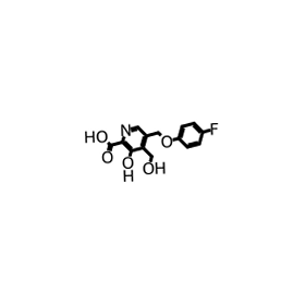 O=C(O)c1ncc(COc2ccc(F)cc2)c(CO)c1O